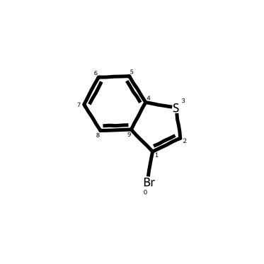 Brc1csc2cc[c]cc12